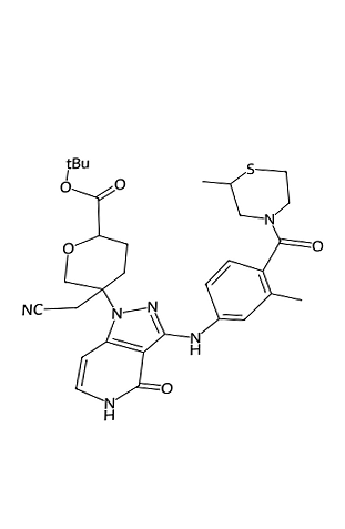 Cc1cc(Nc2nn(C3(CC#N)CCC(C(=O)OC(C)(C)C)OC3)c3cc[nH]c(=O)c23)ccc1C(=O)N1CCSC(C)C1